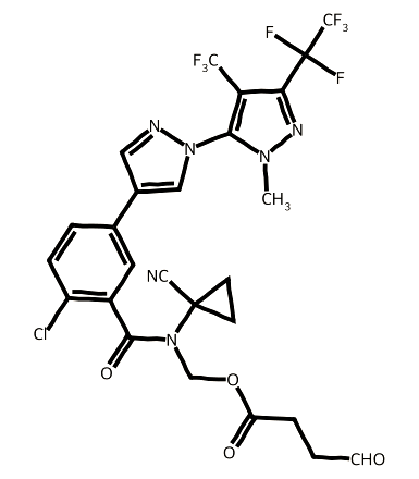 Cn1nc(C(F)(F)C(F)(F)F)c(C(F)(F)F)c1-n1cc(-c2ccc(Cl)c(C(=O)N(COC(=O)CCC=O)C3(C#N)CC3)c2)cn1